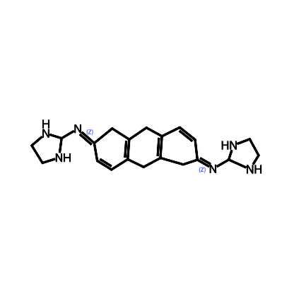 C1=C/C(=N\C2NCCN2)CC2=C1CC1=C(C=C/C(=N\C3NCCN3)C1)C2